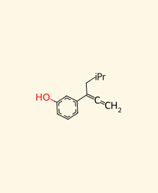 C=C=C(CC(C)C)c1cccc(O)c1